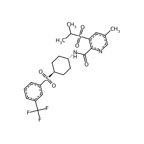 Cc1cnc(C(=O)N[C@H]2CC[C@H](S(=O)(=O)c3cccc(C(F)(F)F)c3)CC2)c(S(=O)(=O)C(C)C)c1